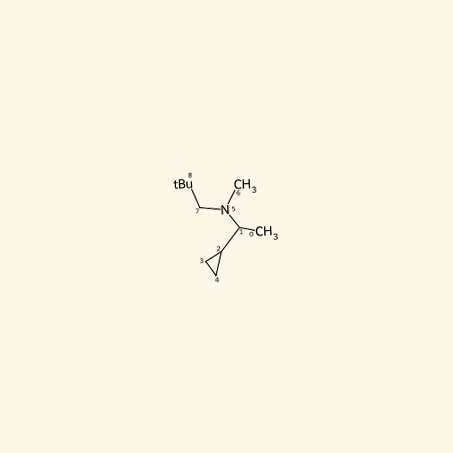 CC(C1CC1)N(C)CC(C)(C)C